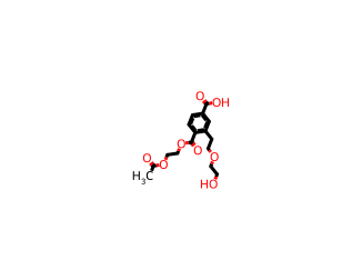 CC(=O)OCCOC(=O)c1ccc(C(=O)O)cc1CCOCCO